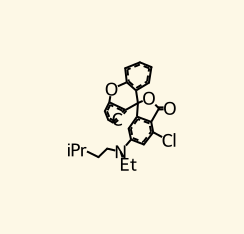 CCN(CCC(C)C)c1cc(Cl)c2c(c1)C1(OC2=O)c2ccccc2Oc2ccccc21